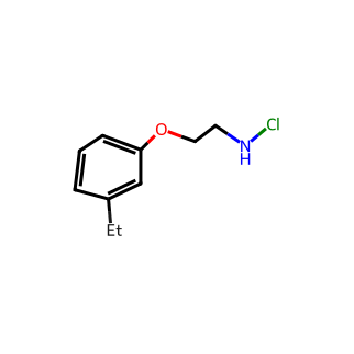 CCc1cccc(OCCNCl)c1